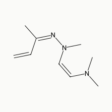 C=C/C(C)=N\N(C)/C=C\N(C)C